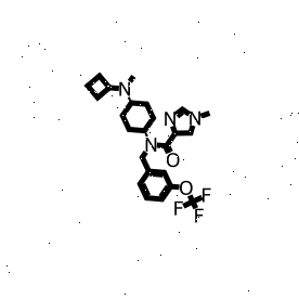 CN1C=NC(C(=O)N(Cc2cccc(OC(F)(F)F)c2)[C@H]2CC[C@@H](N(C)C3CCC3)CC2)C1